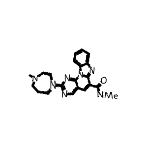 CNC(=O)c1cc2cnc(N3CCCN(C)CC3)nc2n2c1nc1ccccc12